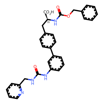 O=C(NCc1ccccn1)Nc1cccc(-c2ccc(C[C@H](NC(=O)OCc3ccccc3)C(=O)O)cc2)c1